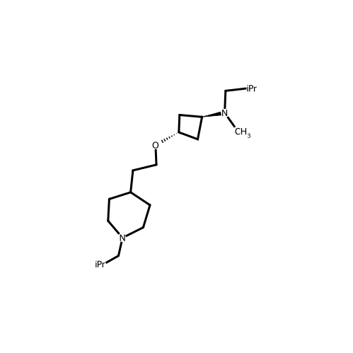 CC(C)CN1CCC(CCO[C@H]2C[C@H](N(C)CC(C)C)C2)CC1